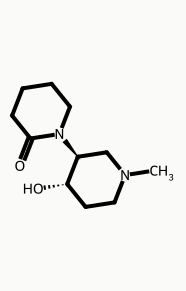 CN1CC[C@H](O)[C@@H](N2CCCCC2=O)C1